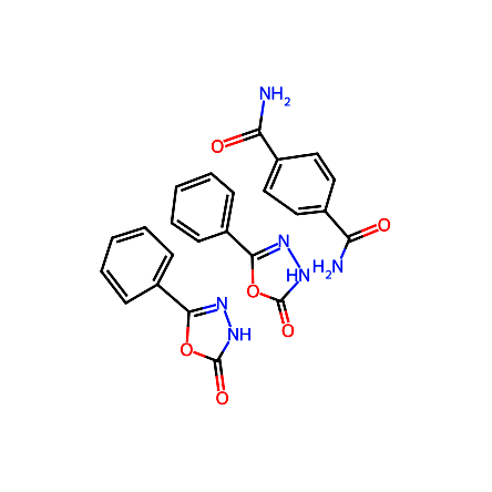 NC(=O)c1ccc(C(N)=O)cc1.O=c1[nH]nc(-c2ccccc2)o1.O=c1[nH]nc(-c2ccccc2)o1